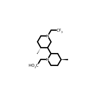 C[C@H]1CCN(CC(=O)O)C(C2CN(CC(F)(F)F)CC[C@H]2C)C1